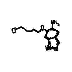 Nc1cc2cn[nH]c2cc1OCCCCCl